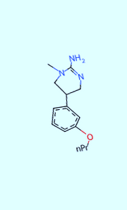 CCCOc1cccc(C2CN=C(N)N(C)C2)c1